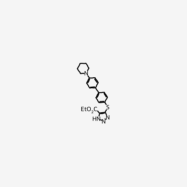 CCOC(=O)c1[nH]nnc1Sc1ccc(-c2ccc(N3CCCCC3)cc2)cc1